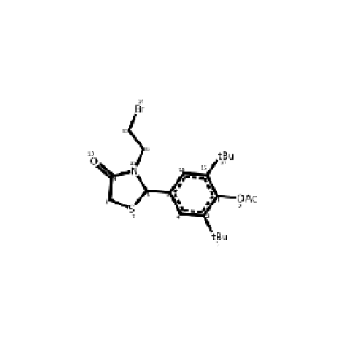 CC(=O)Oc1c(C(C)(C)C)cc(C2SCC(=O)N2CCBr)cc1C(C)(C)C